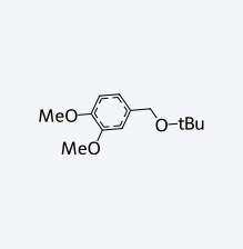 COc1ccc(COC(C)(C)C)cc1OC